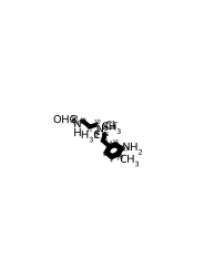 Cc1ccc(CC[N+](C)(C)CCCNC=O)cc1N.[Cl-]